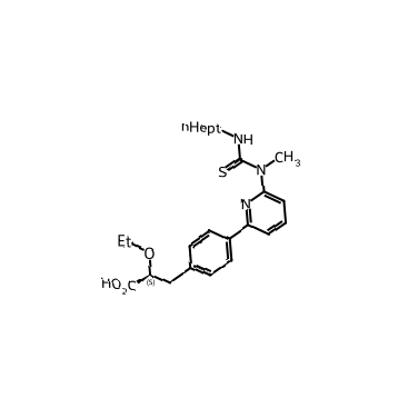 CCCCCCCNC(=S)N(C)c1cccc(-c2ccc(C[C@H](OCC)C(=O)O)cc2)n1